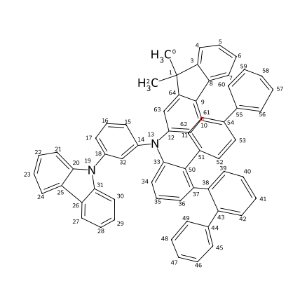 CC1(C)c2ccccc2-c2ccc(N(c3cccc(-n4c5ccccc5c5ccccc54)c3)c3cccc(-c4ccccc4-c4ccccc4)c3-c3ccc(-c4ccccc4)cc3)cc21